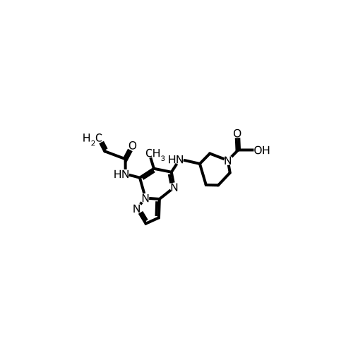 C=CC(=O)Nc1c(C)c(NC2CCCN(C(=O)O)C2)nc2ccnn12